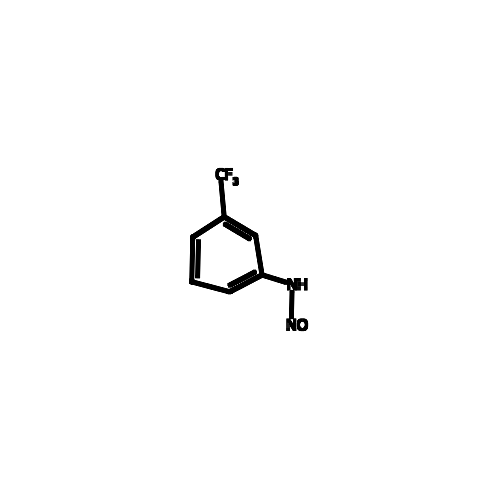 O=NNc1cccc(C(F)(F)F)c1